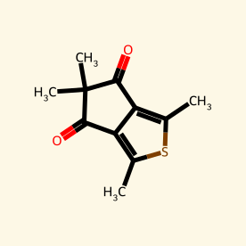 Cc1sc(C)c2c1C(=O)C(C)(C)C2=O